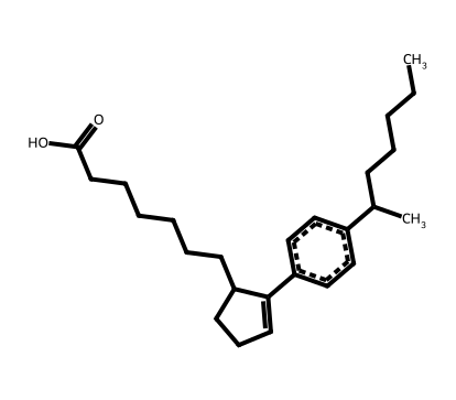 CCCCCC(C)c1ccc(C2=CCCC2CCCCCCC(=O)O)cc1